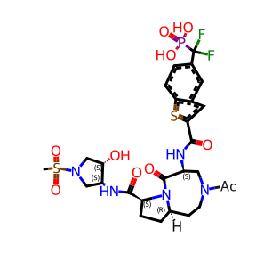 CC(=O)N1CC[C@H]2CC[C@@H](C(=O)N[C@H]3CN(S(C)(=O)=O)C[C@@H]3O)N2C(=O)[C@@H](NC(=O)c2cc3cc(C(F)(F)P(=O)(O)O)ccc3s2)C1